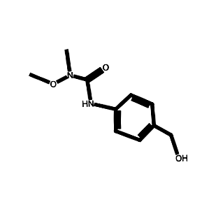 CON(C)C(=O)Nc1ccc(CO)cc1